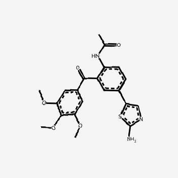 COc1cc(C(=O)c2cc(-c3cnc(N)s3)ccc2NC(C)=O)cc(OC)c1OC